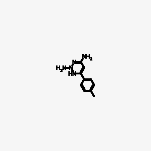 Cc1ccc(C2=CC(N)=NN(N)N2)cc1